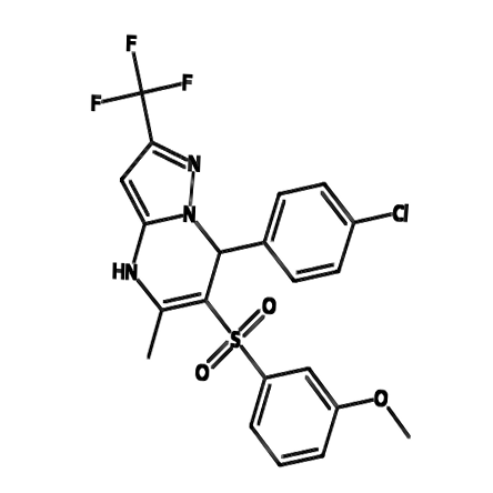 COc1cccc(S(=O)(=O)C2=C(C)Nc3cc(C(F)(F)F)nn3C2c2ccc(Cl)cc2)c1